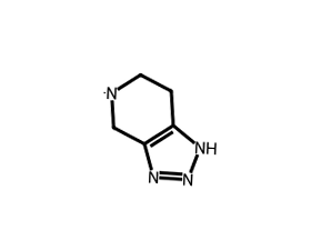 C1Cc2[nH]nnc2C[N]1